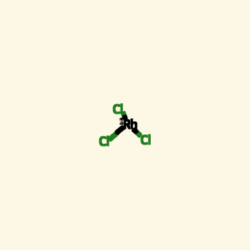 [Cl][1Rh]([Cl])[Cl]